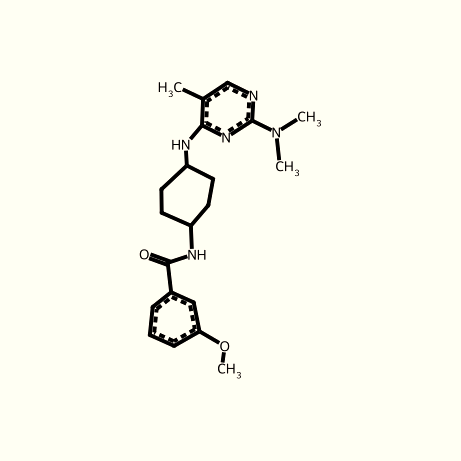 COc1cccc(C(=O)NC2CCC(Nc3nc(N(C)C)ncc3C)CC2)c1